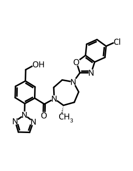 C[C@H]1CCN(c2nc3cc(Cl)ccc3o2)CCN1C(=O)c1cc(CO)ccc1-n1nccn1